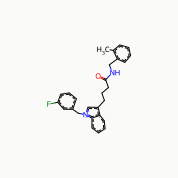 Cc1ccccc1CNC(=O)CCCc1cn(Cc2cccc(F)c2)c2ccccc12